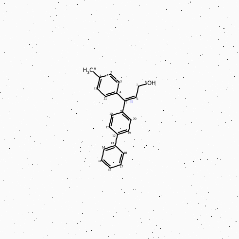 Cc1ccc(/C(=C\CO)c2ccc(-c3ccccc3)cc2)cc1